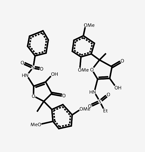 CCS(=O)(=O)NC1=C(O)C(=O)C(C)(c2cc(OC)ccc2OC)O1.COc1ccc(OC)c(C2(C)OC(NS(=O)(=O)c3ccccc3)=C(O)C2=O)c1